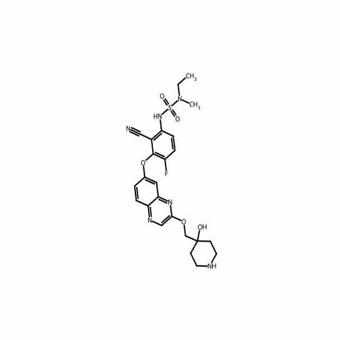 CCN(C)S(=O)(=O)Nc1ccc(F)c(Oc2ccc3ncc(OCC4(O)CCNCC4)nc3c2)c1C#N